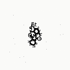 CCN1SCc2c1ccc(F)c2N1C(=O)C2=C(CCCC2)C1=O